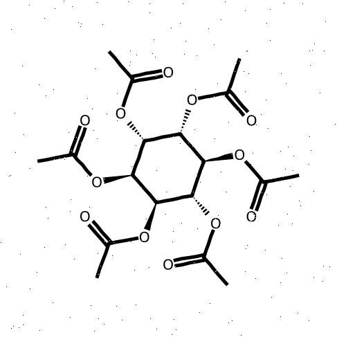 CC(=O)O[C@H]1[C@H](OC(C)=O)[C@H](OC(C)=O)[C@@H](OC(C)=O)[C@H](OC(C)=O)[C@H]1OC(C)=O